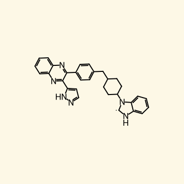 [CH]1Nc2ccccc2N1C1CCC(Cc2ccc(-c3nc4ccccc4nc3-c3ccn[nH]3)cc2)CC1